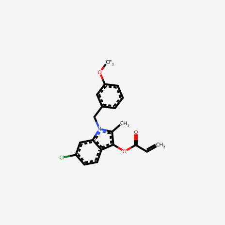 C=CC(=O)Oc1c(C)n(Cc2cccc(OC(F)(F)F)c2)c2cc(Cl)ccc12